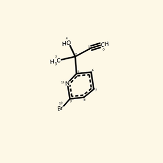 C#CC(C)(O)c1cccc(Br)n1